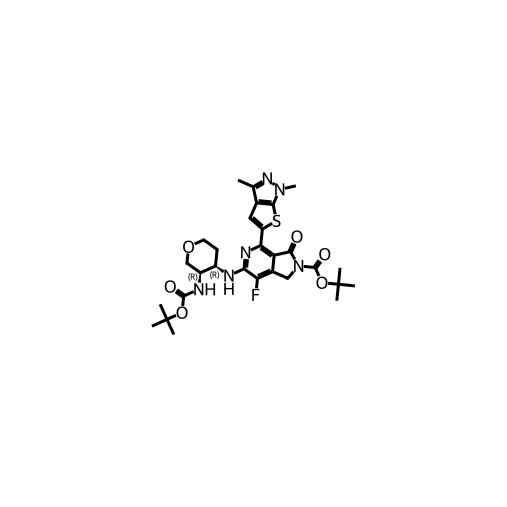 Cc1nn(C)c2sc(-c3nc(N[C@@H]4CCOC[C@@H]4NC(=O)OC(C)(C)C)c(F)c4c3C(=O)N(C(=O)OC(C)(C)C)C4)cc12